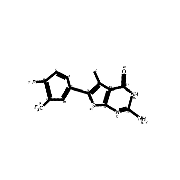 Cc1c(-c2ccc(F)c(C(F)(F)F)c2)sc2nc(N)[nH]c(=O)c12